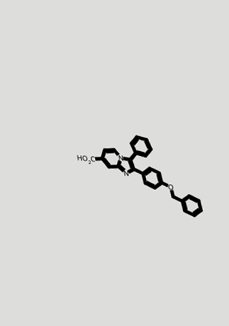 O=C(O)c1ccn2c(-c3ccccc3)c(-c3ccc(OCc4ccccc4)cc3)nc2c1